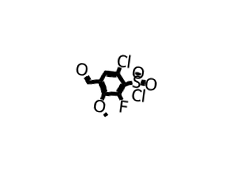 COc1c(C=O)cc(Cl)c(S(=O)(=O)Cl)c1F